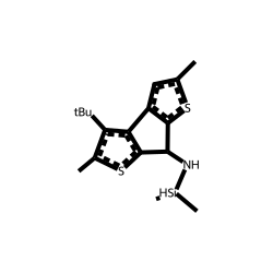 Cc1cc2c(s1)C(N[SiH](C)C)c1sc(C)c(C(C)(C)C)c1-2